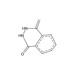 C=C1NNC(=O)c2ccccc21